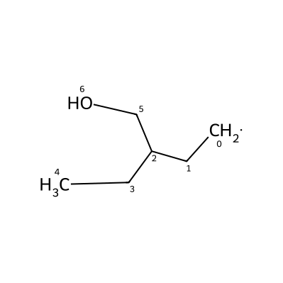 [CH2]CC(CC)CO